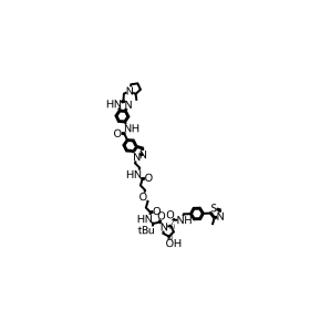 Cc1ncsc1-c1ccc(CNC(=O)[C@@H]2C[C@@H](O)CN2C(=O)C(NC(=O)CCOCCC(=O)NCCn2ncc3cc(C(=O)Nc4ccc5[nH]c(CN6CCCC6C)nc5c4)ccc32)C(C)(C)C)cc1